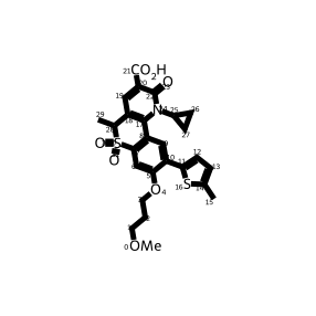 COCCCOc1cc2c(cc1-c1ccc(C)s1)-c1c(cc(C(=O)O)c(=O)n1C1CC1)C(C)S2(=O)=O